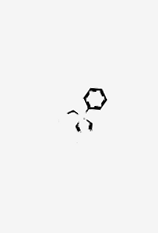 C=C[Si](C=C)(CC)c1ccccc1